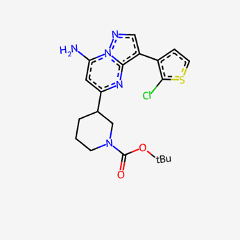 CC(C)(C)OC(=O)N1CCCC(c2cc(N)n3ncc(-c4ccsc4Cl)c3n2)C1